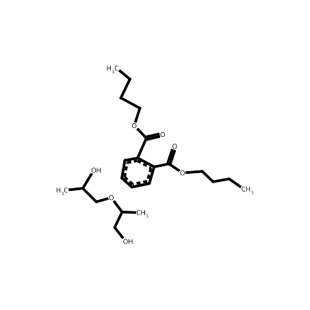 CC(O)COC(C)CO.CCCCOC(=O)c1ccccc1C(=O)OCCCC